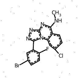 CNc1nc2nnc(-c3cc(Br)ccc3F)n2c2cc(Cl)ccc12